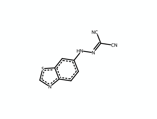 N#CC(C#N)=NNc1ccc2ncsc2c1